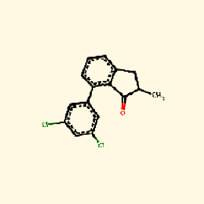 CC1Cc2cccc(-c3cc(Cl)cc(Cl)c3)c2C1=O